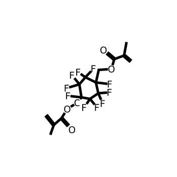 C=C(C)C(=O)OCC1(F)C(F)(F)C(F)(F)C(F)(COC(=O)C(=C)C)C(F)(F)C1(F)F